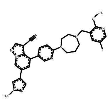 COc1ncc(F)cc1CN1CCCN(c2ccc(-c3cc(-c4cnn(C)c4)cn4ncc(C#N)c34)cn2)CC1